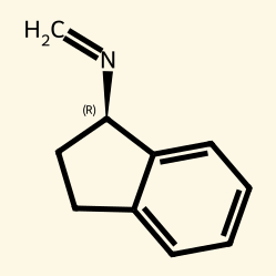 C=N[C@@H]1CCc2ccccc21